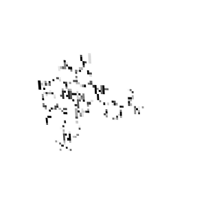 CN(C)C(=O)c1cccc([C@H](Nc2cc(Cl)c3ncc(C#N)c(Nc4cccc(Cl)c4F)c3c2)c2cn(C3CCN(C(C)(C)C)CC3)nn2)c1